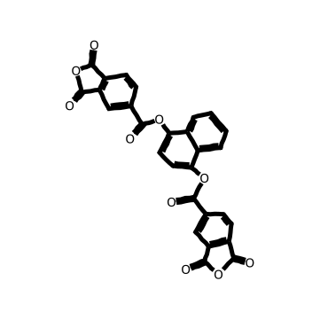 O=C(Oc1ccc(OC(=O)c2ccc3c(c2)C(=O)OC3=O)c2ccccc12)c1ccc2c(c1)C(=O)OC2=O